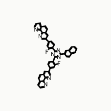 Fc1cc(-c2cnc3c(ccc4cccnc43)c2)ccc1-c1nc(-c2ccc3ccccc3c2)nc(-c2ccc(-c3cnc4c(ccc5cccnc54)c3)cc2F)n1